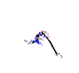 CCCCCCCCCCCCCCCCCC(=O)NCCCC(C)(C)C(=O)N1CCN(c2ccc(Cn3cc4nc(N)nc(NCCCC)c4n3)c(OC)c2)CC1